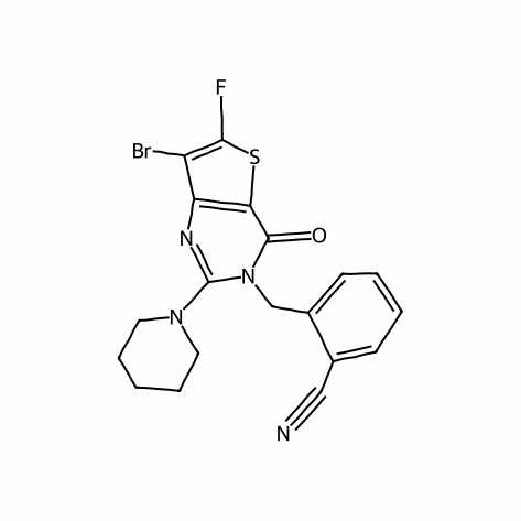 N#Cc1ccccc1Cn1c(N2CCCCC2)nc2c(Br)c(F)sc2c1=O